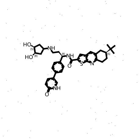 CC(C)(C)[C@H]1CCc2nc3sc(C(=O)N[C@H](CCNC4C[C@@H](O)[C@@H](O)C4)c4ccc(-c5ccc(=O)[nH]c5)cc4)cc3cc2C1